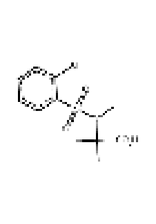 CN(C(C)(C)C(=O)O)S(=O)(=O)c1ccccc1Cl